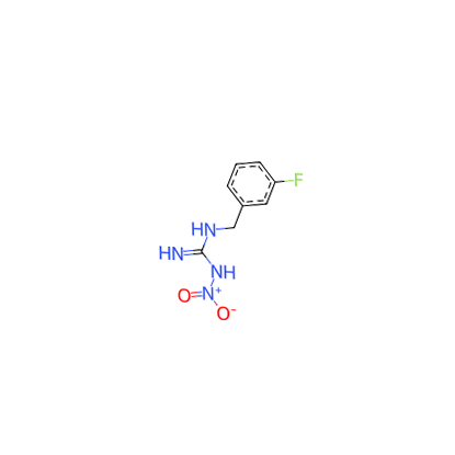 N=C(NCc1cccc(F)c1)N[N+](=O)[O-]